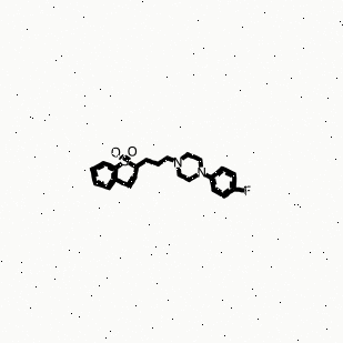 O=S1(=O)c2ccccc2C=CC1CCCN1CCN(c2ccc(F)cc2)CC1